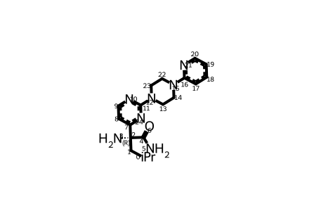 CC(C)C[C@](N)(C(N)=O)c1ccnc(N2CCN(c3ccccn3)CC2)n1